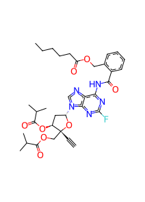 C#C[C@]1(COC(=O)C(C)C)O[C@@H](n2cnc3c(NC(=O)c4ccccc4COC(=O)CCCCC)nc(F)nc32)C[C@@H]1OC(=O)C(C)C